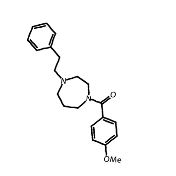 COc1ccc(C(=O)N2CCCN(CCc3ccccc3)CC2)cc1